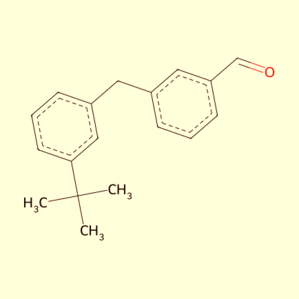 CC(C)(C)c1cccc(Cc2cccc(C=O)c2)c1